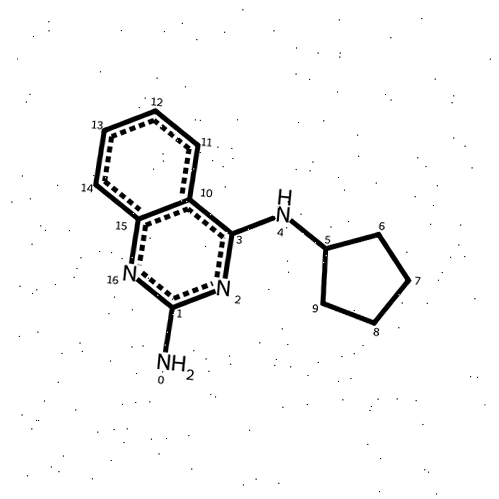 Nc1nc(NC2CCCC2)c2ccccc2n1